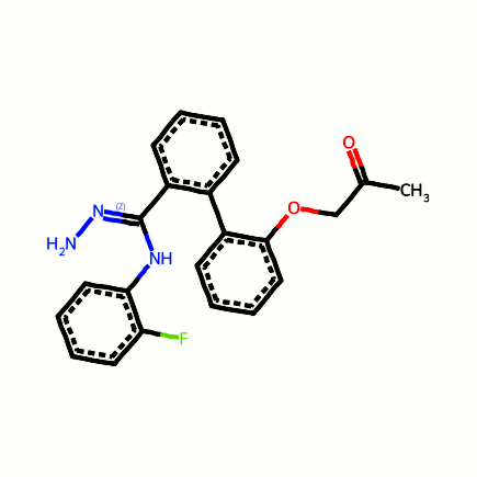 CC(=O)COc1ccccc1-c1ccccc1/C(=N/N)Nc1ccccc1F